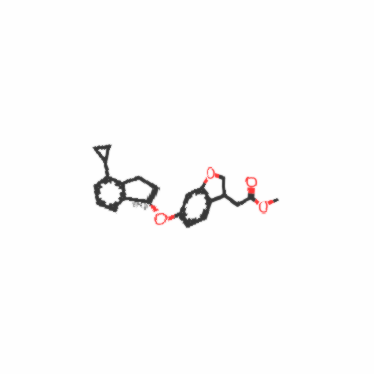 COC(=O)CC1COc2cc(O[C@@H]3CCc4c(C5CC5)cccc43)ccc21